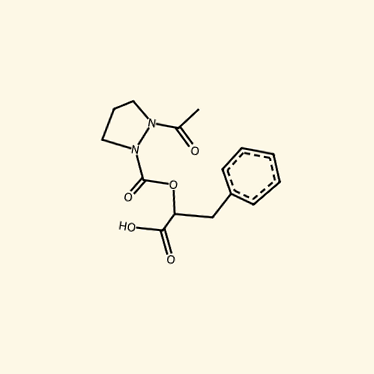 CC(=O)N1CCCN1C(=O)OC(Cc1ccccc1)C(=O)O